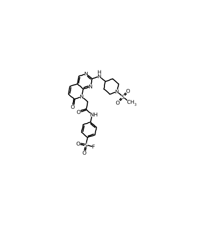 CS(=O)(=O)N1CCC(Nc2ncc3ccc(=O)n(CC(=O)Nc4ccc(S(=O)(=O)F)cc4)c3n2)CC1